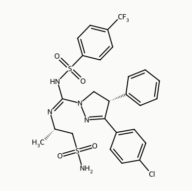 C[C@@H](CS(N)(=O)=O)/N=C(/NS(=O)(=O)c1ccc(C(F)(F)F)cc1)N1C[C@H](c2ccccc2)C(c2ccc(Cl)cc2)=N1